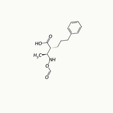 C[C@H](NOC=O)[C@@H](CCCc1ccccc1)C(=O)O